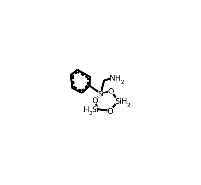 NC[Si]1(c2ccccc2)O[SiH2]O[SiH2]O1